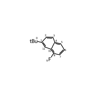 CC(C)(C)c1ccc2cccc(F)c2c1